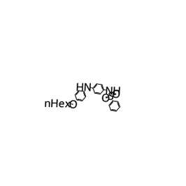 CCCCCCOc1ccc(Nc2ccc(NS(=O)(=O)c3ccccc3)cc2)cc1